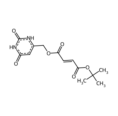 CC(C)(C)OC(=O)C=CC(=O)OCc1cc(=O)[nH]c(=O)[nH]1